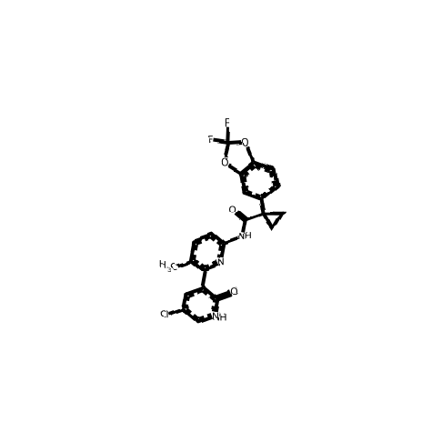 Cc1ccc(NC(=O)C2(c3ccc4c(c3)OC(F)(F)O4)CC2)nc1-c1cc(Cl)c[nH]c1=O